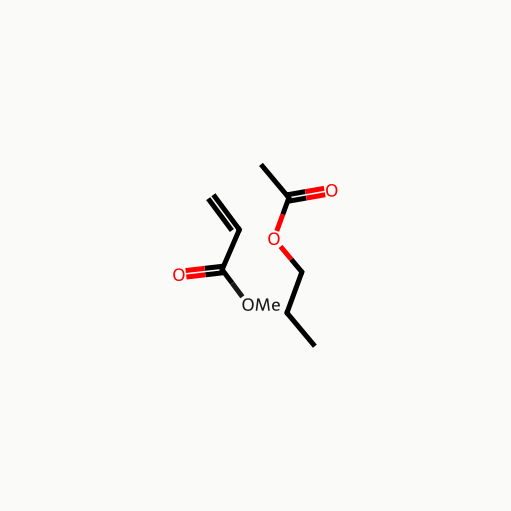 C=CC(=O)OC.CCCOC(C)=O